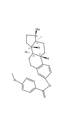 C=C(Oc1ccc2c(c1)CC[C@@H]1[C@@H]2CC[C@]2(C)[C@H](O)CC[C@@H]12)c1ccc(OC)cc1